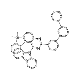 C[Si]1(C)c2ccccc2-c2c1ccc1nc(-c3cccc(-c4cccc(-c5ccccc5)c4)c3)nc(-n3c4ccccc4c4ccccc43)c21